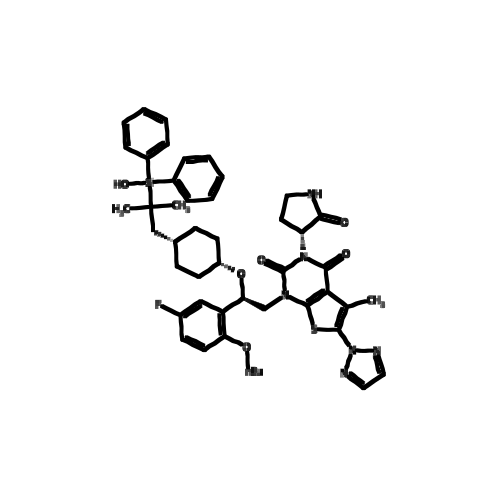 CCCCOc1ccc(F)cc1[C@H](Cn1c(=O)n([C@@H]2CCNC2=O)c(=O)c2c(C)c(-n3nccn3)sc21)O[C@H]1CC[C@@H](CC(C)(C)[Si](O)(c2ccccc2)c2ccccc2)CC1